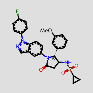 COc1cccc([C@@H]2C(NS(=O)(=O)C3CC3)CC(=O)N2c2ccc3c(cnn3-c3ccc(F)cc3)c2)c1